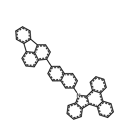 c1ccc2c(c1)-c1cccc3c(-c4ccc5cc(-n6c7ccccc7c7c8ccccc8c8ccccc8c76)ccc5c4)ccc-2c13